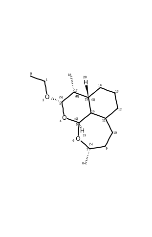 CCO[C@H]1O[C@@H]2O[C@@H](C)CCC3CCC[C@H](C32)[C@H]1C